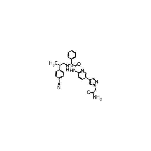 CC(CN[C@H](C(=O)Nc1ccc(-c2cnn(CC(N)=O)c2)cn1)c1ccccc1)c1ccc(C#N)cc1